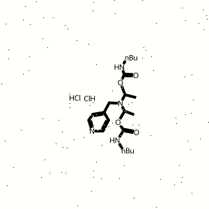 CCCCNC(=O)OC(C)N(Cc1ccncc1)C(C)OC(=O)NCCCC.Cl.Cl